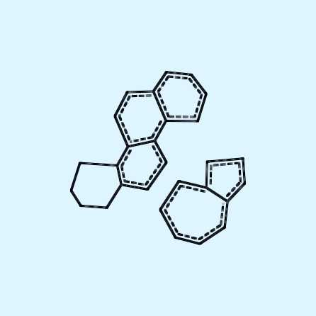 c1ccc2c(c1)ccc1c3c(ccc12)CCCC3.c1ccc2cccc-2cc1